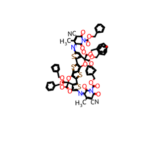 CC1=C(C#N)C(=O)N(C(=O)OCc2ccccc2)C(=O)/C1=N\c1cc2c(s1)-c1sc3c4c(sc3c1OC2(C(=O)OCc1ccccc1)C(=O)OCc1ccccc1)-c1sc(/N=C2\C(=O)N(C(=O)OCc3ccccc3)C(=O)C(C#N)=C2C)cc1C(C(=O)OCc1ccccc1)(C(=O)OCc1ccccc1)O4